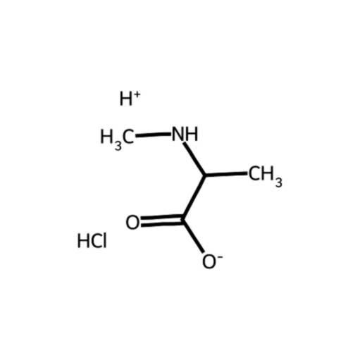 CNC(C)C(=O)[O-].Cl.[H+]